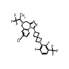 CC(N1Cc2cc(Cl)ccc2-n2c(nnc2C2CC3(C2)CN(c2c(F)ccc(C(F)(F)F)c2F)C3)C1)C(F)(F)F